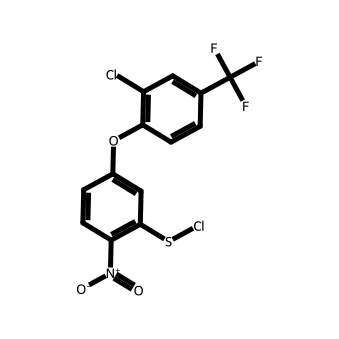 O=[N+]([O-])c1ccc(Oc2ccc(C(F)(F)F)cc2Cl)cc1SCl